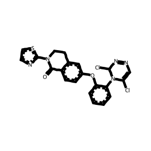 O=C1c2ccc(Oc3ccccc3N3C(Cl)=CN=NC3Cl)cc2CCN1c1nccs1